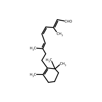 CC1=C(CC/C(C)=C/C=C\C(C)=C\C=O)C(C)(C)CCC1